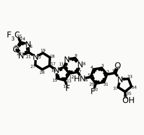 O=C(c1ccc(Nc2ncnc3c2c(F)cn3C2CCN(c3noc(C(F)(F)F)n3)CC2)c(F)c1)N1CCC(O)C1